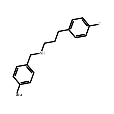 CC(C)(C)c1ccc(CNCCCc2ccc(F)cc2)cc1